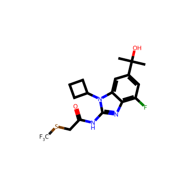 CC(C)(O)c1cc(F)c2nc(NC(=O)CSC(F)(F)F)n(C3CCC3)c2c1